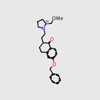 COC[C@@H]1CCCN1CCC1CCc2cc(OCc3ccccc3)ccc2C1=O